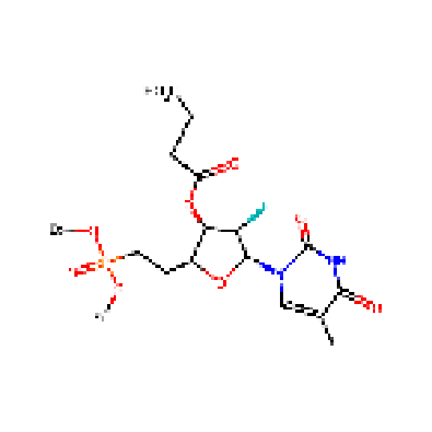 CCOP(=O)(CCC1O[C@H](n2cc(C)c(=O)[nH]c2=O)[C@H](F)[C@@H]1OC(=O)CCC(=O)O)OCC